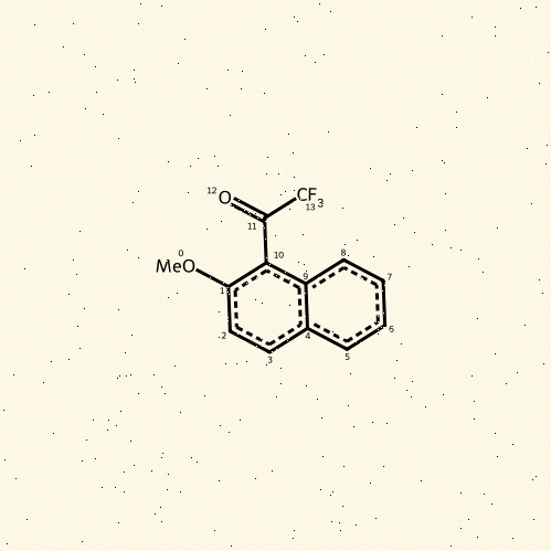 COc1ccc2ccccc2c1C(=O)C(F)(F)F